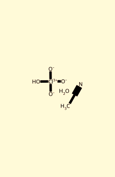 CC#N.O.[O-][Cl+3]([O-])([O-])O